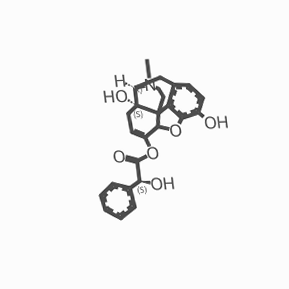 CN1CCC23c4c5ccc(O)c4OC2C(OC(=O)[C@@H](O)c2ccccc2)=CC[C@@]3(O)[C@H]1C5